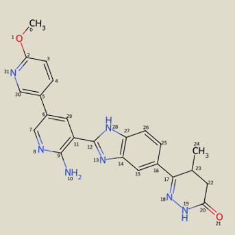 COc1ccc(-c2cnc(N)c(-c3nc4cc(C5=NNC(=O)CC5C)ccc4[nH]3)c2)cn1